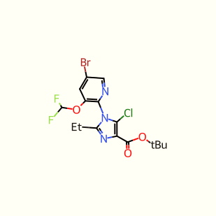 CCc1nc(C(=O)OC(C)(C)C)c(Cl)n1-c1ncc(Br)cc1OC(F)F